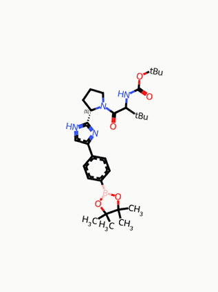 CC(C)(C)OC(=O)NC(C(=O)N1CCC[C@H]1c1nc(-c2ccc(B3OC(C)(C)C(C)(C)O3)cc2)c[nH]1)C(C)(C)C